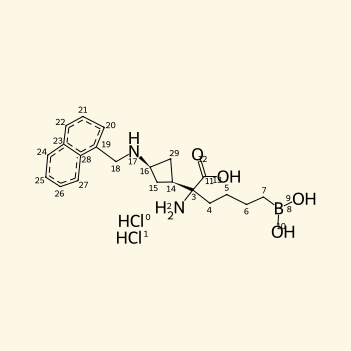 Cl.Cl.NC(CCCCB(O)O)(C(=O)O)[C@H]1C[C@@H](NCc2cccc3ccccc23)C1